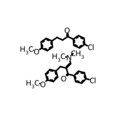 COc1ccc(CC(=CN(C)C)C(=O)c2ccc(Cl)cc2)cc1.COc1ccc(CCC(=O)c2ccc(Cl)cc2)cc1